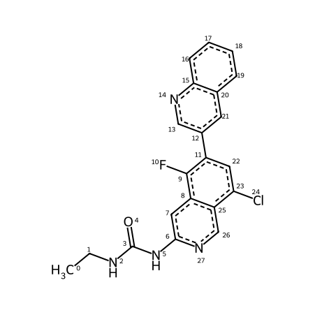 CCNC(=O)Nc1cc2c(F)c(-c3cnc4ccccc4c3)cc(Cl)c2cn1